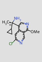 COc1ncc([C@@](C)(N)C2CC2)c2cc(Cl)ncc12